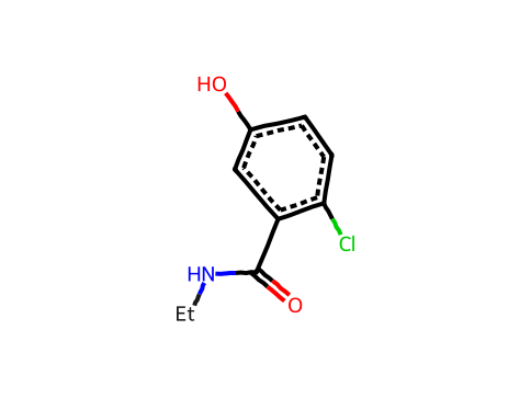 CCNC(=O)c1cc(O)ccc1Cl